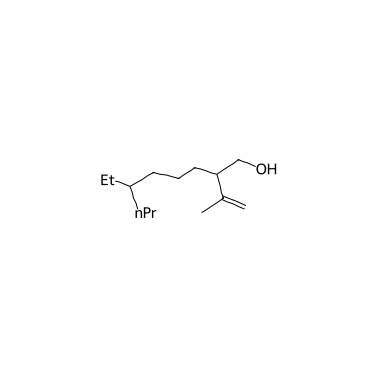 C=C(C)C(CO)CCCC(CC)CCC